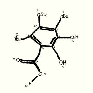 CCCCc1c(O)c(O)c(C(=O)OF)c(CCCC)c1CCCC